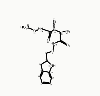 CCC[C@@H](C(=O)NOCC1Cc2ccccc2N1)N(CC)C(=O)NOS(=O)(=O)O